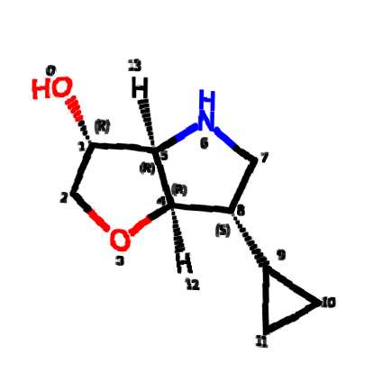 O[C@H]1CO[C@H]2[C@@H]1NC[C@@H]2C1CC1